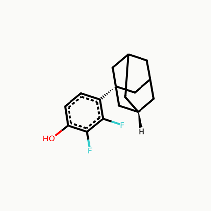 Oc1ccc([C@]23CC4CC(C[C@H](C4)C2)C3)c(F)c1F